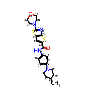 CC1CCN(c2ccc(NC(=O)c3cc4sc(N5CCOCC5)nc4s3)cc2)CC1